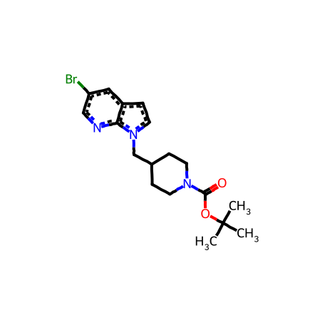 CC(C)(C)OC(=O)N1CCC(Cn2ccc3cc(Br)cnc32)CC1